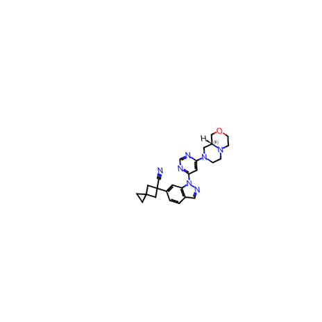 N#CC1(c2ccc3cnn(-c4cc(N5CCN6CCOC[C@H]6C5)ncn4)c3c2)CC2(CC2)C1